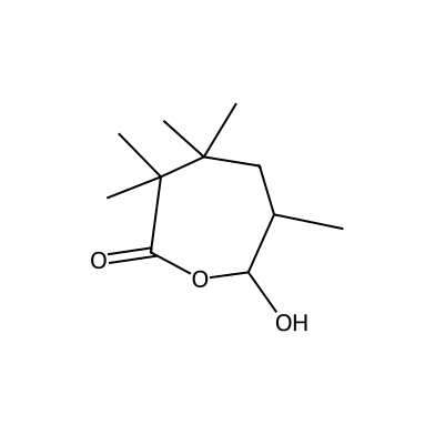 CC1CC(C)(C)C(C)(C)C(=O)OC1O